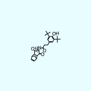 CC(C)(C)c1cc(CCC(=O)NN2C(=O)C3C4C=CC(C4)C3C2=O)cc(C(C)(C)C)c1O